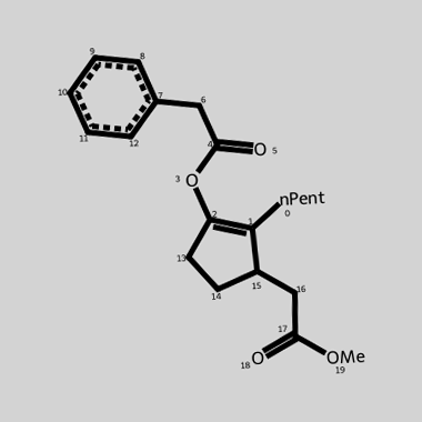 CCCCCC1=C(OC(=O)Cc2ccccc2)CCC1CC(=O)OC